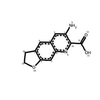 Nc1cc2cc3c(cc2nc1C(=O)O)OCC3